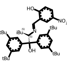 CC[C@H](C)[C@H](N=Cc1cc([N+](=O)[O-])ccc1O)C(O)(c1cc(C(C)(C)C)cc(C(C)(C)C)c1)c1cc(C(C)(C)C)cc(C(C)(C)C)c1